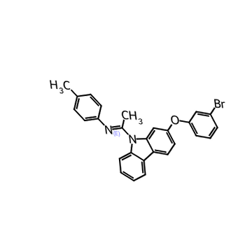 C/C(=N\c1ccc(C)cc1)n1c2ccccc2c2ccc(Oc3cccc(Br)c3)cc21